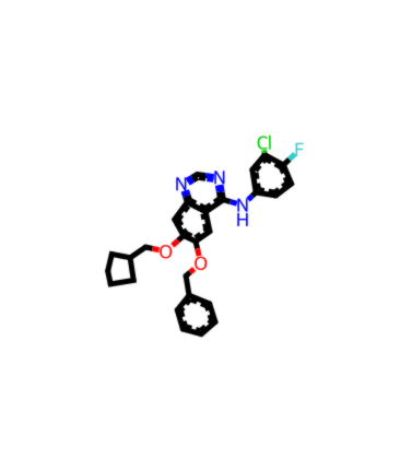 Fc1ccc(Nc2ncnc3cc(OCC4CCCC4)c(OCc4ccccc4)cc23)cc1Cl